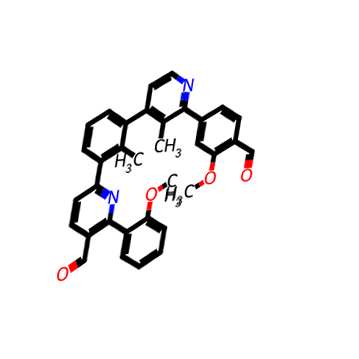 COc1cc(-c2nccc(-c3cccc(-c4ccc(C=O)c(-c5ccccc5OC)n4)c3C)c2C)ccc1C=O